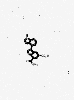 CCOC(=O)c1cc(C(=O)NC)c2occ(-c3cccc4c3ccn4C)c2c1